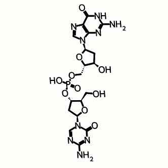 Nc1ncn([C@H]2C[C@H](OP(=O)(O)OC[C@@H]3O[C@@H](n4cnc5c(=O)[nH]c(N)nc54)C[C@H]3O)[C@@H](CO)O2)c(=O)n1